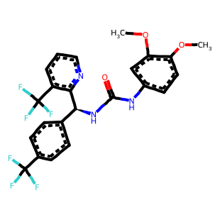 COc1ccc(NC(=O)N[C@@H](c2ccc(C(F)(F)F)cc2)c2ncccc2C(F)(F)F)cc1OC